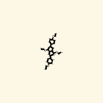 C=COc1ccc(-c2cc(OC=C)c3cc(-c4ccc(OC=C)cc4)cc(OC=C)c3c2)cc1